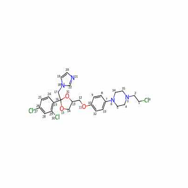 ClCCN1CCN(c2ccc(OCC3COC(Cn4ccnc4)(c4ccc(Cl)cc4Cl)O3)cc2)CC1